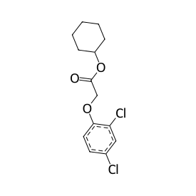 O=C(COc1ccc(Cl)cc1Cl)OC1CCCCC1